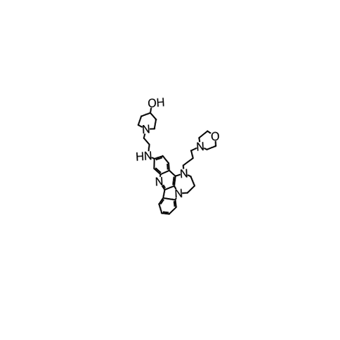 OC1CCN(CCNc2ccc3c4c5c(nc3c2)c2ccccc2n5CCCN4CCCN2CCOCC2)CC1